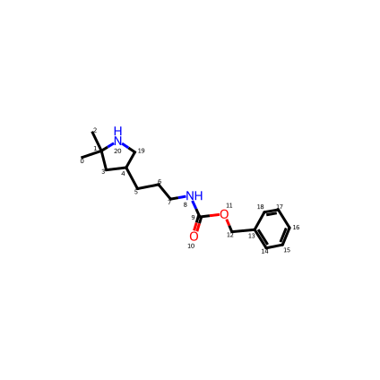 CC1(C)CC(CCCNC(=O)OCc2ccccc2)CN1